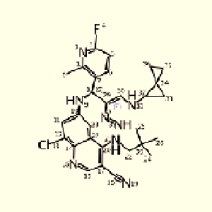 Cc1nc(F)ccc1[C@H](Nc1cc(Cl)c2ncc(C#N)c(NCC(C)(C)C)c2c1)/C(=C/NC1CC12CC2)N=N